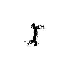 Cc1ccc(N(c2ccc3c(ccc4c5cc6c(cc5oc34)oc3c4ccc(N(c5ccc(C)cc5)c5ccc7oc8ccccc8c7c5)cc4ccc63)c2)c2ccc3oc4ccccc4c3c2)cc1